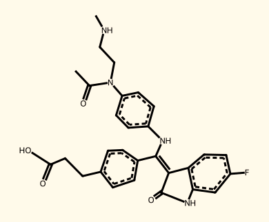 CNCCN(C(C)=O)c1ccc(NC(=C2C(=O)Nc3cc(F)ccc32)c2ccc(CCC(=O)O)cc2)cc1